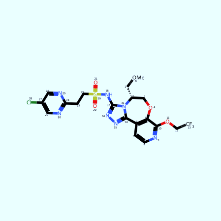 COC[C@@H]1COc2c(ccnc2OCC(F)(F)F)-c2nnc(NS(=O)(=O)CCc3ncc(Cl)cn3)n21